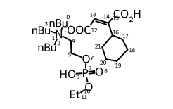 CCCC[N+](CCCC)(CCCC)CCOP(=O)(O)OCC.O=C([O-])/C=C(/C(=O)O)C1CCCCC1